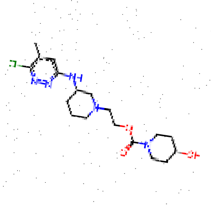 Cc1cc(N[C@@H]2CCCN(CCOC(=O)N3CCC(O)CC3)C2)nnc1Cl